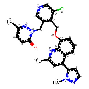 Cc1cc(-c2ccnn2C)c2cccc(OCc3c(Cl)cncc3Cn3nc(C)ccc3=O)c2n1